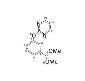 COC(OC)c1cccc(Oc2ncccn2)c1